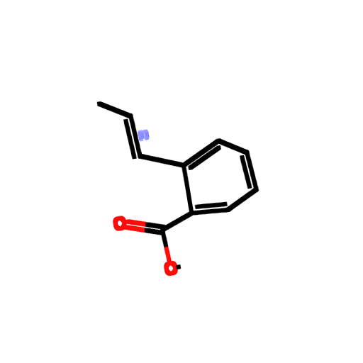 C/C=C/c1ccccc1C([O])=O